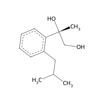 CC(C)Cc1ccccc1[C@](C)(O)CO